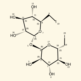 O[C@@H]1[C@@H](O)[C@@H](O[C@H]2O[C@H](CI)[C@@H](O)[C@H](O)[C@H]2O)O[C@H](CI)[C@H]1O